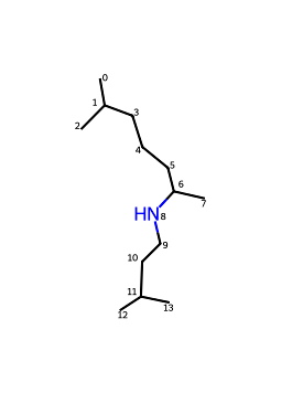 CC(C)CCCC(C)NCCC(C)C